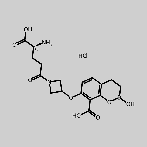 Cl.N[C@@H](CCC(=O)N1CC(Oc2ccc3c(c2C(=O)O)OB(O)CC3)C1)C(=O)O